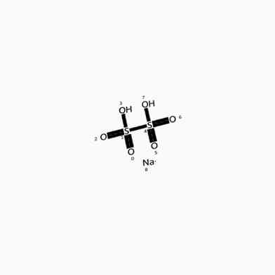 O=S(=O)(O)S(=O)(=O)O.[Na]